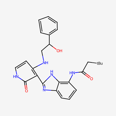 CC(C)(C)CC(=O)Nc1cccc2nc(-c3c(NCC(O)c4ccccc4)cc[nH]c3=O)[nH]c12